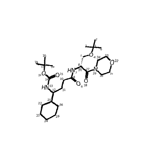 CC(C)(C)OC[C@@H](NC(=O)CCC(NC(=O)OC(C)(C)C)C1CCCCC1)C(=O)N1CCOCC1